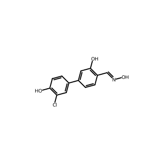 O/N=C/c1ccc(-c2ccc(O)c(Cl)c2)cc1O